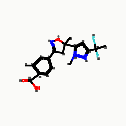 Cc1cc(C2=NOC(C)(c3cc(C(C)(F)F)nn3C)C2)ccc1C(=O)O